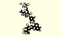 CC[C@@]1(O)C(=O)OCc2c1cc1n(c2=O)Cc2c-1nc1cc(F)c(C)c3c1c2[C@@H](NCc1c(F)cc(NC(=O)C(CCCNC(N)=O)NC(=O)C(N)C(C)C)cc1F)CC3